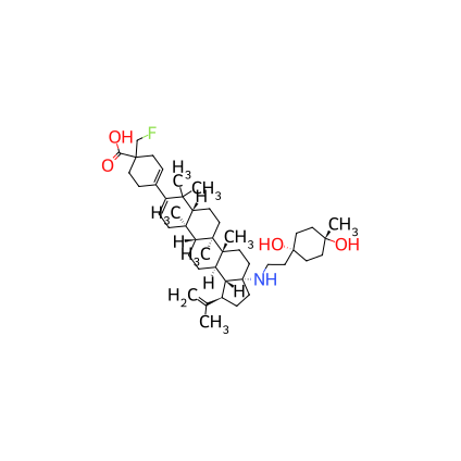 C=C(C)[C@@H]1CC[C@]2(NCC[C@]3(O)CC[C@@](C)(O)CC3)CC[C@]3(C)[C@H](CC[C@@H]4[C@@]5(C)CC=C(C6=CCC(CF)(C(=O)O)CC6)C(C)(C)[C@@H]5CC[C@]43C)[C@@H]12